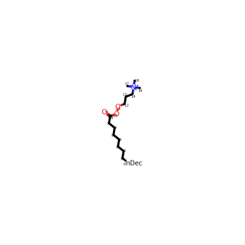 CCCCCCCCCCCCCCCCCC(=O)OOCCC[N+](C)(C)C